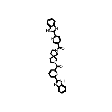 O=C(c1ccc(-c2nc3ccccc3[nH]2)nc1)N1CCC2(CCN(C(=O)c3cccc(-c4nc5ccccc5[nH]4)n3)C2)C1